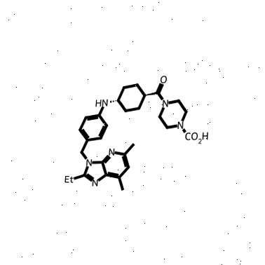 CCc1nc2c(C)cc(C)nc2n1Cc1ccc(N[C@H]2CC[C@H](C(=O)N3CCN(C(=O)O)CC3)CC2)cc1